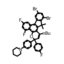 CCCCC1=CC(c2ccc(F)cc2)(c2ccc(N3CCCCC3)cc2)Oc2c1c1c(c3cc(F)cc(F)c23)-c2cc(Br)cc(Br)c2C1(C)C